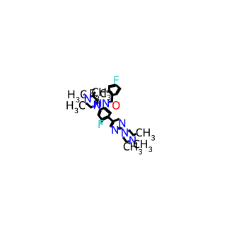 CC1CN(c2ncc(-c3cc(NC(=O)c4ccc(F)cc4C(F)(F)F)c(N4CC(C)N(C)C(C)C4)cc3F)cn2)CC(C)N1C